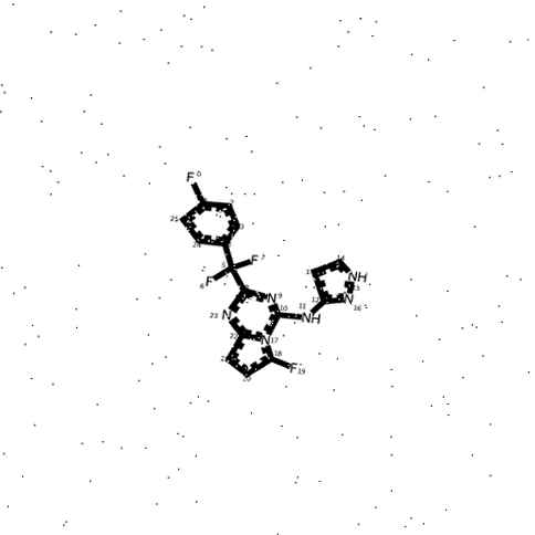 Fc1ccc(C(F)(F)c2nc(Nc3cc[nH]n3)n3c(F)ccc3n2)cc1